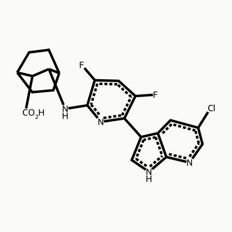 O=C(O)C1C2CCC(CC2)C1Nc1nc(-c2c[nH]c3ncc(Cl)cc23)c(F)cc1F